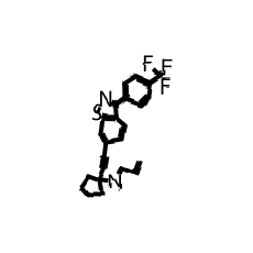 C=CCN(C)C1(C#Cc2ccc3c(-c4ccc(C(F)(F)F)cc4)nsc3c2)CCCC1